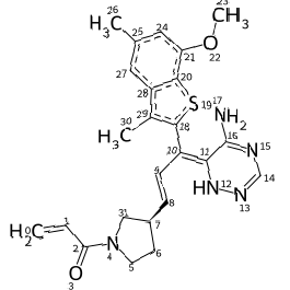 C=CC(=O)N1CC[C@H](/C=C/C(=C2\NN=CN=C2N)c2sc3c(OC)cc(C)cc3c2C)C1